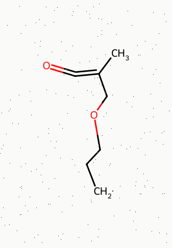 [CH2]CCOCC(C)=C=O